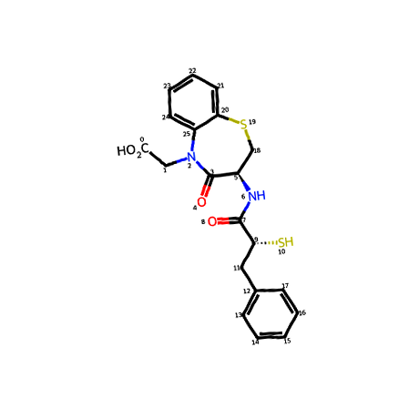 O=C(O)CN1C(=O)[C@H](NC(=O)[C@H](S)Cc2ccccc2)CSc2ccccc21